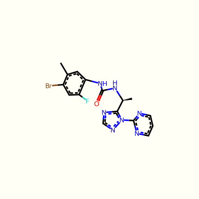 Cc1cc(NC(=O)N[C@@H](C)c2ncnn2-c2ncccn2)c(F)cc1Br